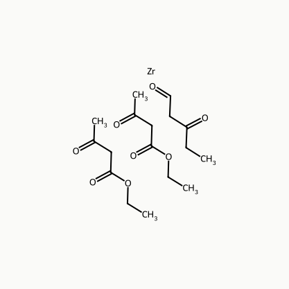 CCC(=O)CC=O.CCOC(=O)CC(C)=O.CCOC(=O)CC(C)=O.[Zr]